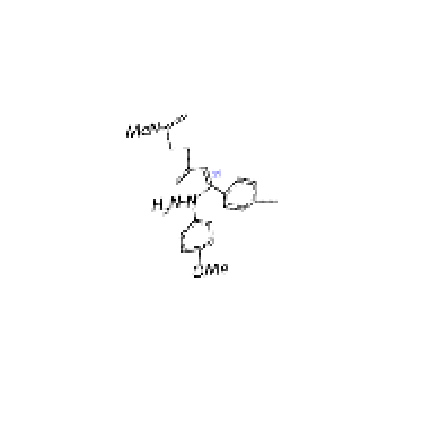 C=C(/C=C(/c1ccc(C)cc1)N(N)c1ccc(OC)cc1)CCC(=C)NC